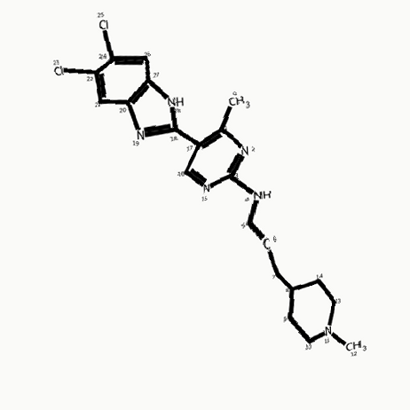 Cc1nc(NCCCC2CCN(C)CC2)ncc1-c1nc2cc(Cl)c(Cl)cc2[nH]1